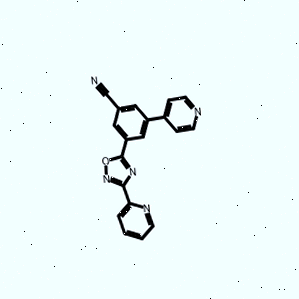 N#Cc1cc(-c2ccncc2)cc(-c2nc(-c3ccccn3)no2)c1